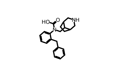 O=C(O)N(CC1C2CCC1CNC2)c1ccccc1Cc1ccccc1